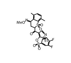 CCn1ncc(C(=O)C2CC(=NOC)c3c(C)ccc(C)c3S2(=O)=O)c1OS(=O)(=O)c1ccc(F)c(F)c1